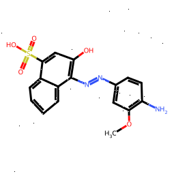 COc1cc(N=Nc2c(O)cc(S(=O)(=O)O)c3ccccc23)ccc1N